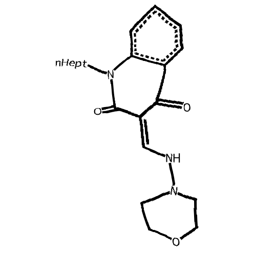 CCCCCCCN1C(=O)/C(=C/NN2CCOCC2)C(=O)c2ccccc21